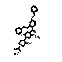 Cn1nc(-c2ccc(OCc3ccccc3)nc2OCc2ccccc2)c2cc(F)c(C3CCN(C(=O)OC(C)(C)C)CC3O)cc21